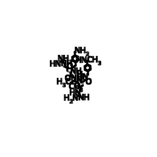 CC(=N)c1ccc(CNC(=O)[C@H](CCCNC(=N)N)NC(=O)C(NC(=O)[C@H](CCCNC(=N)N)NC(=O)Cc2ccc(CN)cc2)C(C)C)cc1